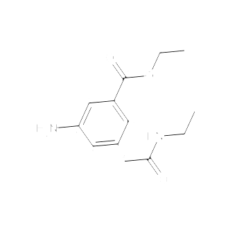 CCNC(C)=O.CCOC(=O)c1cccc(N)c1